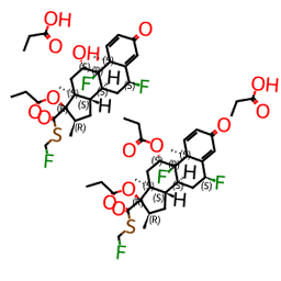 CCC(=O)O.CCC(=O)O.CCC(=O)O[C@H]1C[C@@]2(C)[C@@H](C[C@@H](C)[C@]2(OC(=O)CC)C(=O)SCF)[C@@H]2C[C@H](F)C3=CC(=O)C=C[C@]3(C)[C@@]12F.CCC(=O)O[C@]1(C(=O)SCF)[C@H](C)C[C@H]2[C@@H]3C[C@H](F)C4=CC(=O)C=C[C@]4(C)[C@@]3(F)[C@@H](O)C[C@@]21C